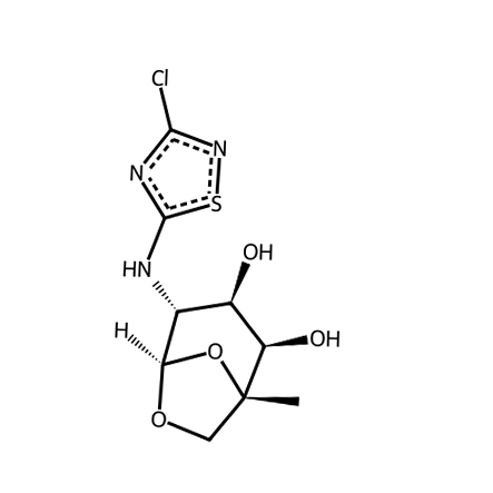 C[C@@]12CO[C@H](O1)[C@H](Nc1nc(Cl)ns1)[C@@H](O)[C@H]2O